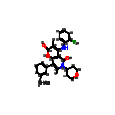 CC(=O)Nc1cccc(-c2c(C)n(C3CCOCC3)c(=O)c3c(Nc4ccccc4F)c(C)c(=O)oc23)c1